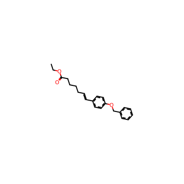 CCOC(=O)CCCCC=Cc1ccc(OCc2ccccc2)cc1